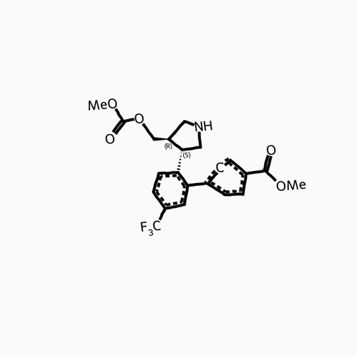 COC(=O)OC[C@H]1CNC[C@@H]1c1ccc(C(F)(F)F)cc1-c1ccc(C(=O)OC)cc1